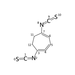 S=C=NC1=C=CC=C(N=C=S)CC1